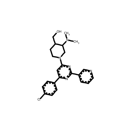 CN(C)C1CN(c2cc(-c3ccc(Cl)cc3)nc(-c3cccnc3)n2)CCC1CO